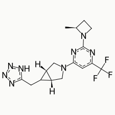 C[C@H]1CCN1c1nc(N2C[C@@H]3C(Cc4nnn[nH]4)[C@@H]3C2)cc(C(F)(F)F)n1